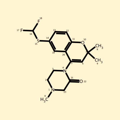 CN1CCN(C2=CC(C)(C)Oc3ccc(SC(F)F)cc32)C(=O)C1